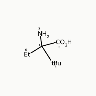 CCC(N)(C(=O)O)C(C)(C)C